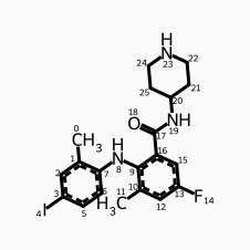 Cc1cc(I)ccc1Nc1c(C)cc(F)cc1C(=O)NC1CCNCC1